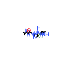 Cc1cc(Nc2nc(NCc3cc(C(C)C)no3)ncc2Cl)n[nH]1